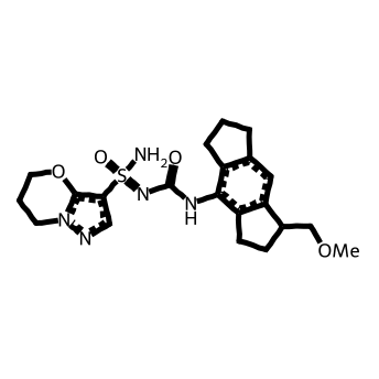 COCC1CCc2c1cc1c(c2NC(=O)N=S(N)(=O)c2cnn3c2OCCC3)CCC1